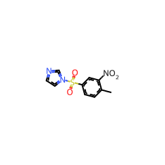 Cc1ccc(S(=O)(=O)n2ccnc2)cc1[N+](=O)[O-]